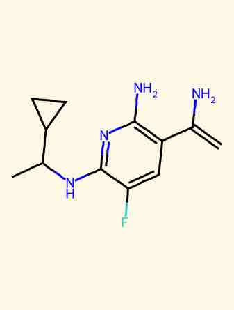 C=C(N)c1cc(F)c(NC(C)C2CC2)nc1N